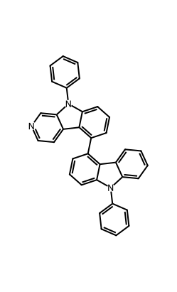 c1ccc(-n2c3ccccc3c3c(-c4cccc5c4c4ccncc4n5-c4ccccc4)cccc32)cc1